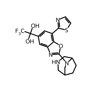 OC(O)(c1cc(-c2nccs2)c2oc(N3CC4CCC3CNC4)nc2c1)C(F)(F)F